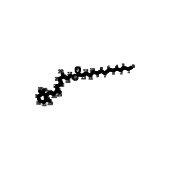 CCCCCCCCCCCCCCC(=O)OCC=C(C)C=CC=C(C)C=CC1=C(C)CCCC1(C)C